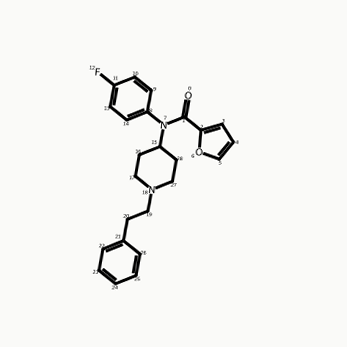 O=C(c1ccco1)N(c1ccc(F)cc1)C1CCN(CCc2ccccc2)CC1